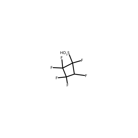 O=S(=O)(O)C1(F)C(F)C(F)(F)C1(F)F